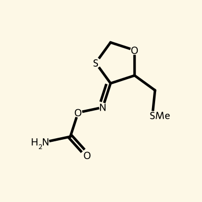 CSCC1OCSC1=NOC(N)=O